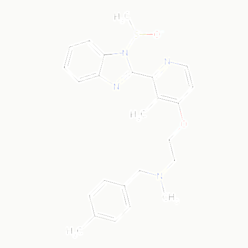 Cc1ccc(CN(C)CCOc2ccnc(-c3nc4ccccc4n3[S+](C)[O-])c2C)cc1